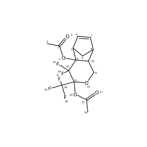 CC(=O)OC12C3C=CC(C3)C1COC(OC(C)=O)(C(F)(F)F)C2(F)F